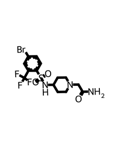 NC(=O)CN1CCC(NS(=O)(=O)c2ccc(Br)cc2C(F)(F)F)CC1